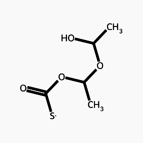 CC(O)OC(C)OC(=O)[S]